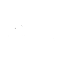 O=C(N[C@@H]1C[C@H]2CC[C@@H]1N2)c1ccc(-c2ccncc2)s1